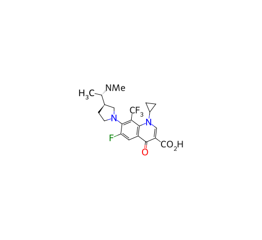 CN[C@@H](C)[C@@H]1CCN(c2c(F)cc3c(=O)c(C(=O)O)cn(C4CC4)c3c2C(F)(F)F)C1